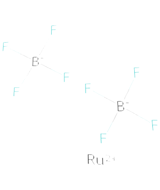 F[B-](F)(F)F.F[B-](F)(F)F.[Ru+2]